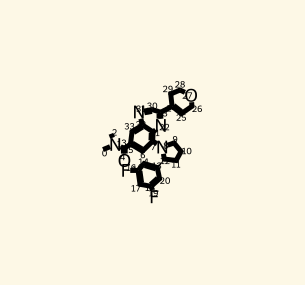 CN(C)C(=O)c1cc(N2CCC[C@@H]2c2cc(F)cc(F)c2)c2nc(C3=CCOCC3)cnc2c1